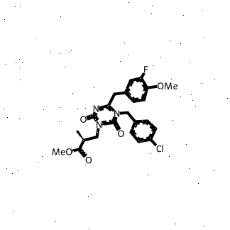 COC(=O)[C@@H](C)Cn1c(=O)nc(Cc2ccc(OC)c(F)c2)n(Cc2ccc(Cl)cc2)c1=O